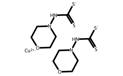 S=C([S-])NN1CCOCC1.S=C([S-])NN1CCOCC1.[Cu+2]